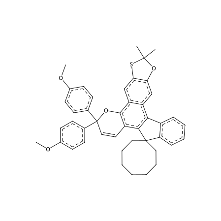 COc1ccc(C2(c3ccc(OC)cc3)C=Cc3c4c(c5cc6c(cc5c3O2)SC(C)(C)O6)-c2ccccc2C42CCCCCCC2)cc1